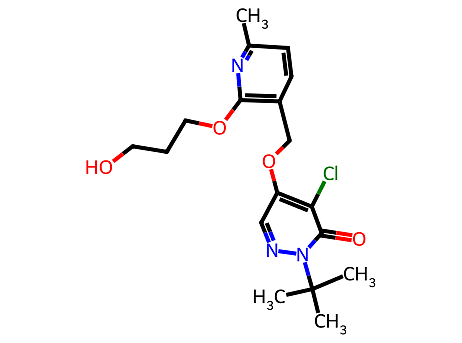 Cc1ccc(COc2cnn(C(C)(C)C)c(=O)c2Cl)c(OCCCO)n1